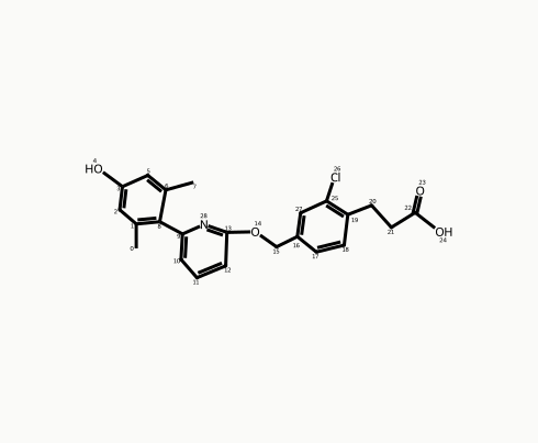 Cc1cc(O)cc(C)c1-c1cccc(OCc2ccc(CCC(=O)O)c(Cl)c2)n1